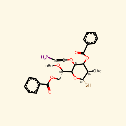 CCCCO[C@@H](COC(=O)c1ccccc1)C1O[C@@H](S)[C@H](OC(C)=O)C(OC(=O)c2ccccc2)[C@@H]1OB=BP